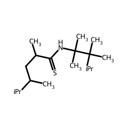 CC(CC(C)C(C)C)C(=S)NC(C)(C)C(C)(C)C(C)C